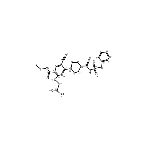 CCOC(=O)c1cc(C#N)c(N2CCC(C(=O)NS(=O)(=O)Cc3ccccc3)CC2)nc1OCC(=O)O